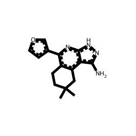 CC1(C)CCc2c(-c3ccoc3)nc3[nH]nc(N)c3c2C1